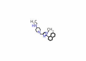 CCNC1CCN(Cc2cn(CC)c(-c3cccc4ccccc34)n2)CC1